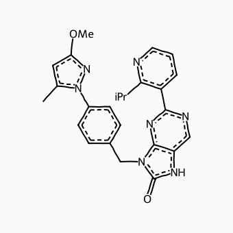 COc1cc(C)n(-c2ccc(Cn3c(=O)[nH]c4cnc(-c5cccnc5C(C)C)nc43)cc2)n1